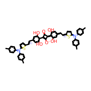 Cc1ccc(N(c2ccc(C)cc2)c2ccc(/C=C/c3cc(O)c(C4=C([O-])C(=c5c(O)cc(=C/C=C6\C=CC(=[N+](c7ccc(C)cc7)c7ccc(C)cc7)S6)cc5O)C4=O)c(O)c3)s2)cc1